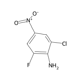 Nc1c(F)cc([N+](=O)[O-])cc1Cl